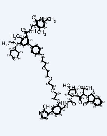 CCN(c1cc(-c2ccc(OCCOCCOCCOCCOc3cc(-c4scnc4C)ccc3CNC(=O)[C@@H]3C[C@@H](O)CN3C(=O)C(C(C)C)N3Cc4ccccc4C3=O)cc2)cc(C(=O)NCc2c(C)cc(C)[nH]c2=O)c1C)C1CCOCC1